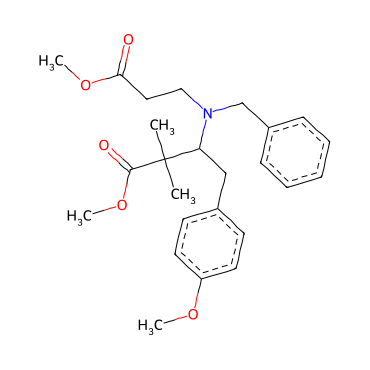 COC(=O)CCN(Cc1ccccc1)C(Cc1ccc(OC)cc1)C(C)(C)C(=O)OC